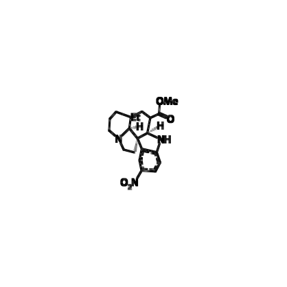 CC[C@]12CCCN3CC[C@]4(c5cc([N+](=O)[O-])ccc5N[C@@H]4C(C(=O)OC)C1)[C@@H]32